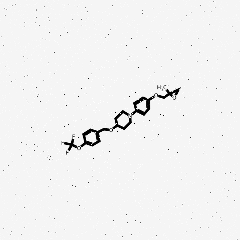 CC1(COc2ccc(N3CCC(OCc4ccc(OC(F)(F)F)cc4)CC3)cc2)CO1